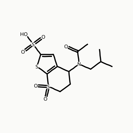 CC(=O)N(CC(C)C)C1CCS(=O)(=O)c2sc(S(=O)(=O)O)cc21